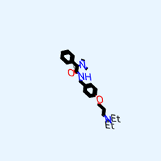 CCN(CC)CCCOc1ccc(CNC(=O)[C@@H](c2ccccc2)N(C)C)cc1